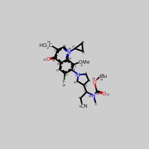 COc1c(N2CCC(C(CC#N)N(C)C(=O)OC(C)(C)C)C2)c(F)cc2c(=O)c(C(=O)O)cn(C3CC3)c12